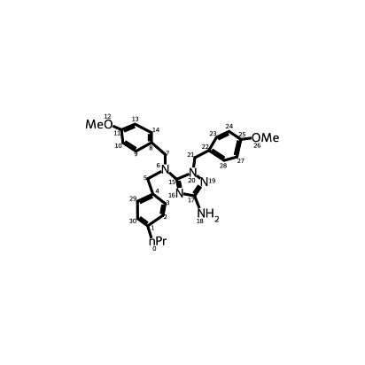 CCCc1ccc(CN(Cc2ccc(OC)cc2)c2nc(N)nn2Cc2ccc(OC)cc2)cc1